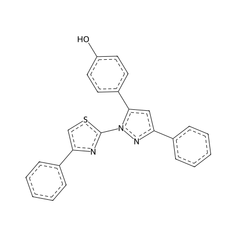 Oc1ccc(-c2cc(-c3ccccc3)nn2-c2nc(-c3ccccc3)cs2)cc1